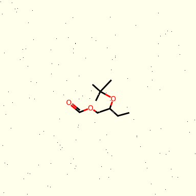 CCC(COC=O)OC(C)(C)C